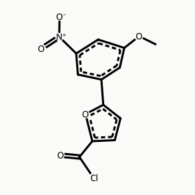 COc1cc(-c2ccc(C(=O)Cl)o2)cc([N+](=O)[O-])c1